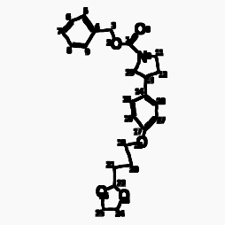 O=C(OCc1ccccc1)N1CCC(c2ccc(OCCCC3OCCO3)cc2)C1